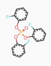 O=P(Oc1ccccc1F)(Oc1ccccc1F)Oc1ccccc1F